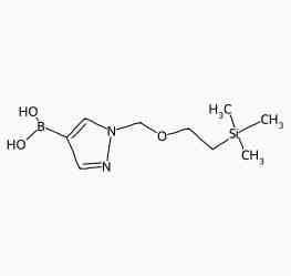 C[Si](C)(C)CCOCn1cc(B(O)O)cn1